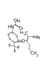 C=CCC(O)=C(C)C#N.O=C(O)Nc1ccc(C(F)(F)F)cc1